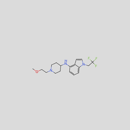 COCCN1CCC(Nc2cccc3c2ccn3CC(F)(F)F)CC1